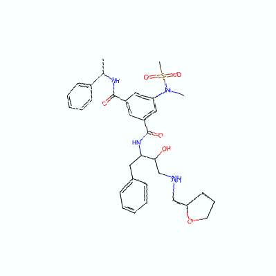 CC(NC(=O)c1cc(C(=O)NC(Cc2ccccc2)C(O)CNCC2CCCO2)cc(N(C)S(C)(=O)=O)c1)c1ccccc1